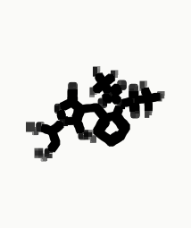 CCC(C)n1oc(=O)c(Cc2ccccc2N(S(=O)(=O)C(F)(F)F)S(=O)(=O)C(F)(F)F)c1C